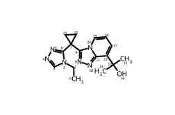 CCn1cnnc1C1(c2nnc3c(C(C)(C)O)cccn23)CC1